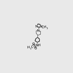 Cn1ccnc1N1CCC(c2ccc(NS(C)(=O)=O)cc2)CC1